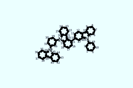 c1ccc(-n2c3ccccc3c3ccc(-c4cccc5c4c4ccccc4n5-c4cccc(-n5c6ccccc6c6ccccc65)c4)cc32)cc1